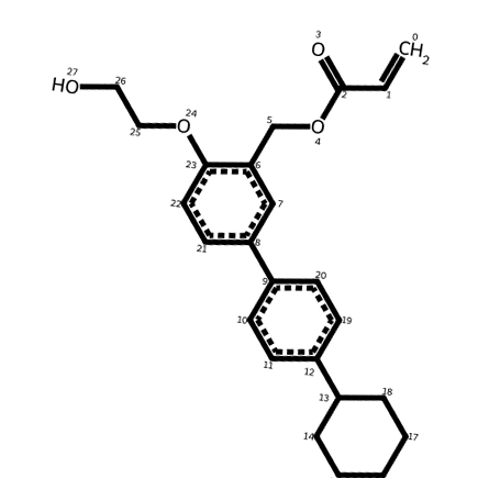 C=CC(=O)OCc1cc(-c2ccc(C3CCCCC3)cc2)ccc1OCCO